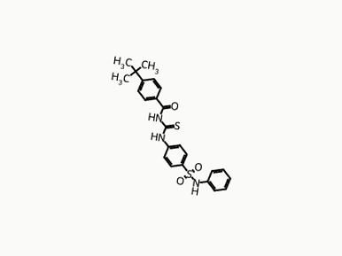 CC(C)(C)c1ccc(C(=O)NC(=S)Nc2ccc(S(=O)(=O)Nc3ccccc3)cc2)cc1